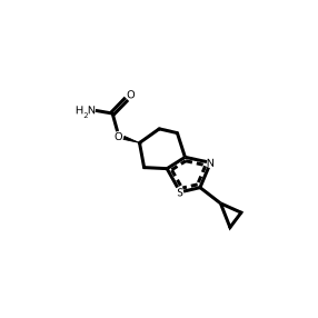 NC(=O)O[C@H]1CCc2nc(C3CC3)sc2C1